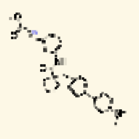 COC(=O)/C=C/c1cccc(NC(=O)C2(Cc3ccc(-c4ccc(N(C)C)cc4)cc3)CCCC2)c1